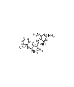 CC(c1nc2c(N)nc(N)nc2[nH]1)c1cc2cccc(Cl)c2nc1N